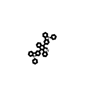 c1ccc(-p2c3ccccc3c3cc(-c4c5ccccc5c(-c5ccc6c(c5)c5ccccc5p6-c5ccccc5)c5c4cnc4ccccc45)ccc32)cc1